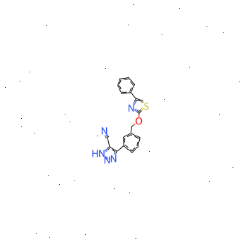 N#Cc1[nH]nnc1-c1cccc(COc2nc(-c3ccccc3)cs2)c1